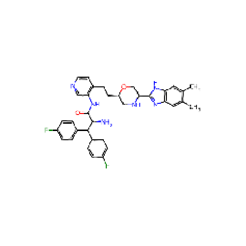 Cc1cc2nc([C@@H]3CO[C@H](CCc4ccncc4NC(=O)[C@@H](N)C(c4ccc(F)cc4)c4ccc(F)cc4)CN3)[nH]c2cc1C